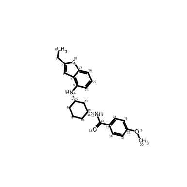 CCc1cc2c(N[C@H]3CCC[C@@H](NC(=O)c4ccc(OC)cc4)C3)cccc2s1